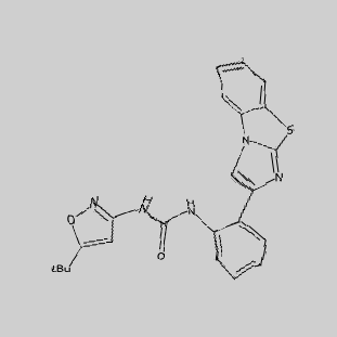 CC(C)(C)c1cc(NC(=O)Nc2ccccc2-c2cn3c(n2)sc2c[c]ccc23)no1